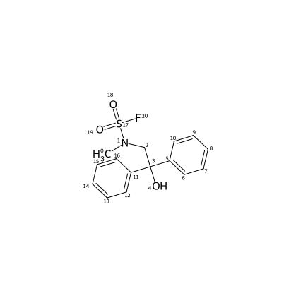 CN(CC(O)(c1ccccc1)c1ccccc1)S(=O)(=O)F